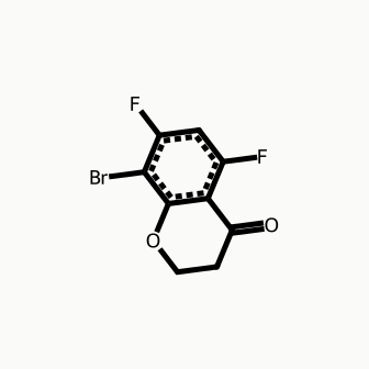 O=C1CCOc2c(Br)c(F)cc(F)c21